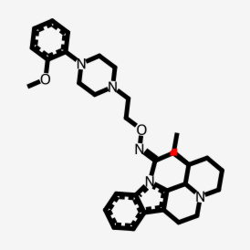 CCC12CCCN3CCc4c(n(c5ccccc45)C(=NOCCN4CCN(c5ccccc5OC)CC4)C1)C32